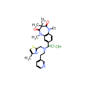 CCN1C(=O)C(C)(C)C(=O)N(C)c2cc(CN(CCc3cccnc3)Cc3nc(C)cs3)ccc21.Cl.Cl